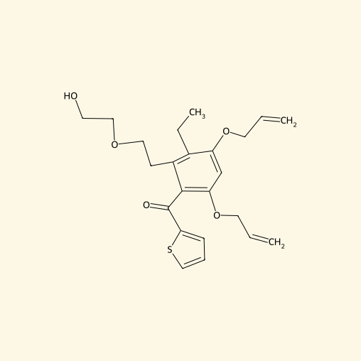 C=CCOc1cc(OCC=C)c(C(=O)c2cccs2)c(CCOCCO)c1CC